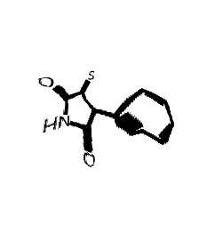 O=C1NC(=O)C(c2ccccc2)C1=S